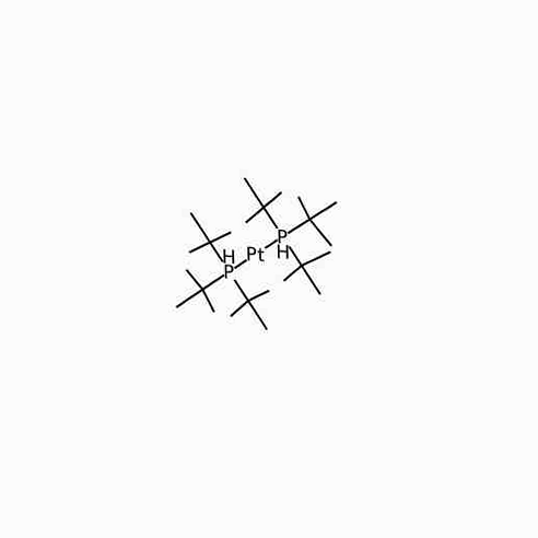 CC(C)(C)[PH]([Pt][PH](C(C)(C)C)(C(C)(C)C)C(C)(C)C)(C(C)(C)C)C(C)(C)C